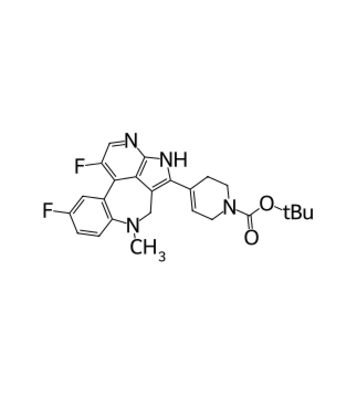 CN1Cc2c(C3=CCN(C(=O)OC(C)(C)C)CC3)[nH]c3ncc(F)c(c23)-c2cc(F)ccc21